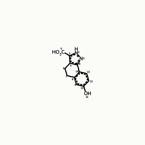 O=C(O)c1[nH]nc2c1CCc1cc(O)ccc1-2